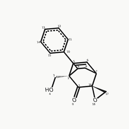 O=C1[C@@]2(CO)C=CC(CC2c2ccccc2)[C@@]12CO2